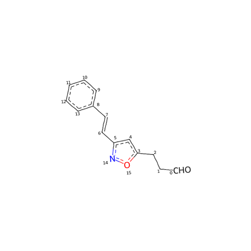 O=CCCc1cc(C=Cc2ccccc2)no1